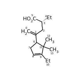 C=C(C[C@@H](CC)C(=O)O)C1CC=C(CC)C1(C)C